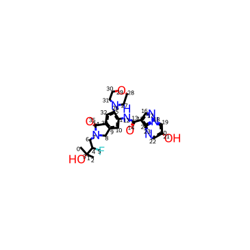 CC(C)(O)C(F)CN1Cc2cc(NC(=O)c3cnn4cc(O)cnc34)c(N3CCOCC3)cc2C1=O